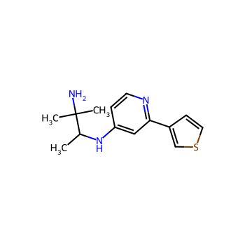 CC(Nc1ccnc(-c2ccsc2)c1)C(C)(C)N